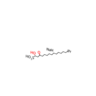 CC(C)CCCCCCCCCCCC(=O)CC(O)S(=O)(=O)O.[NaH]